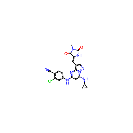 CN1C(=O)N/C(=C\c2cnn3c(NC4CC4)cc(Nc4ccc(C#N)c(Cl)c4)nc23)C1=O